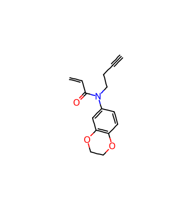 C#CCCN(C(=O)C=C)c1ccc2c(c1)OCCO2